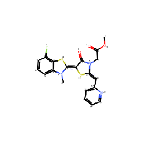 COC(=O)Cn1c(=O)/c(=C2\Sc3c(F)cccc3N2C)s/c1=C\c1ccccn1